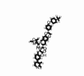 Cc1nc(C(=O)N2Cc3cc4c(cc3C[C@H]2C(=O)N[C@@H](Cc2ccc(-c3ccnc(C)c3C)cc2)C(=O)O)OC[C@H](c2ccc(O[C@H]3CC[C@H](C(C)(C)C)CC3)cc2)O4)c(C)o1